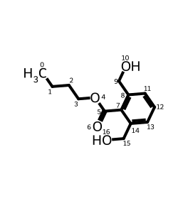 CCCCOC(=O)c1c(CO)cccc1CO